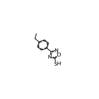 CCc1ccc(-c2noc(S)n2)cc1